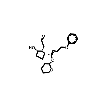 O=CC[C@@H]1[C@H](O)CC[C@H]1C(=CCCOc1ccccc1)OC1CCCCO1